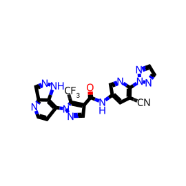 N#Cc1cc(NC(=O)c2cnn(-c3ccnc4cn[nH]c34)c2C(F)(F)F)cnc1-n1nccn1